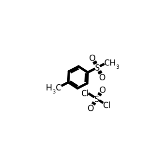 Cc1ccc(S(C)(=O)=O)cc1.O=S(=O)(Cl)Cl